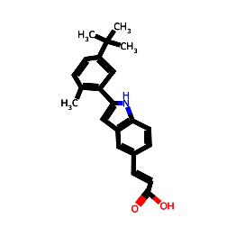 Cc1ccc(C(C)(C)C)cc1-c1cc2cc(/C=C/C(=O)O)ccc2[nH]1